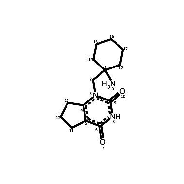 NC1(Cn2c3c(c(=O)[nH]c2=O)CCC3)CCCCC1